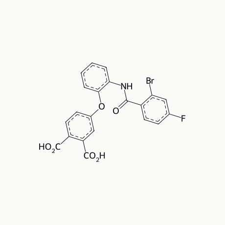 O=C(Nc1ccccc1Oc1ccc(C(=O)O)c(C(=O)O)c1)c1ccc(F)cc1Br